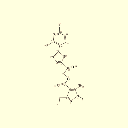 CCc1nn(C)c(N)c1C(=O)OCC(=O)c1cnc(-c2ccc(F)cc2F)s1